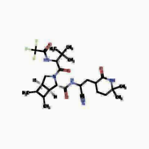 CC1C(C)[C@H]2CN(C(=O)C(NC(=O)C(F)(F)F)C(C)(C)C)[C@H](C(=O)NC(C#N)CC3CCC(C)(C)NC3=O)[C@@H]12